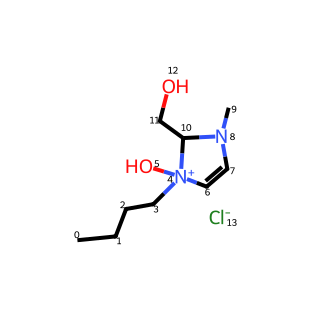 CCCC[N+]1(O)C=CN(C)C1CO.[Cl-]